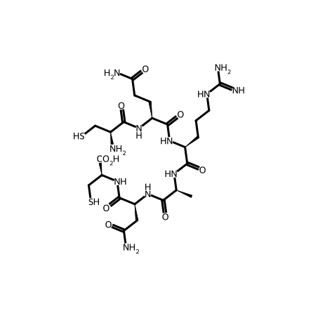 C[C@H](NC(=O)[C@H](CCCNC(=N)N)NC(=O)[C@H](CCC(N)=O)NC(=O)[C@@H](N)CS)C(=O)N[C@@H](CC(N)=O)C(=O)N[C@@H](CS)C(=O)O